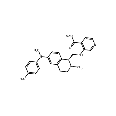 COC(=O)c1ccncc1NC[C@@H]1c2ccc(N(C)c3ccc(C)cc3)cc2CCN1C